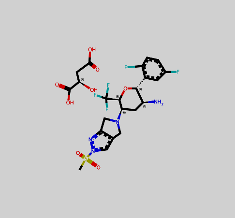 CS(=O)(=O)n1cc2c(n1)CN([C@@H]1C[C@H](N)[C@@H](c3cc(F)ccc3F)O[C@@H]1C(F)(F)F)C2.O=C(O)C[C@@H](O)C(=O)O